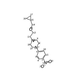 O=[N+]([O-])c1ccc(N2CCN(CCOCC3CC3)CC2)cc1